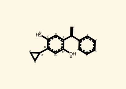 C=C(c1ccccc1)c1cc(S)c(C2CC2)cc1O